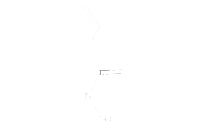 C=COC(=O)NS